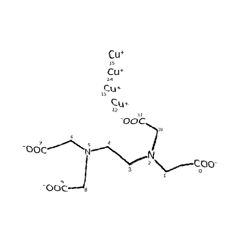 O=C([O-])CN(CCN(CC(=O)[O-])CC(=O)[O-])CC(=O)[O-].[Cu+].[Cu+].[Cu+].[Cu+]